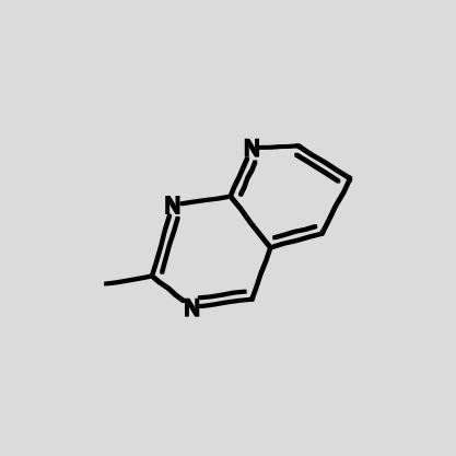 Cc1ncc2cccnc2n1